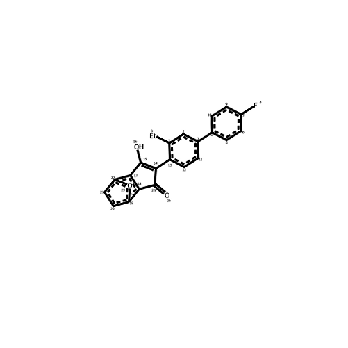 CCc1cc(-c2ccc(F)cc2)ccc1C1=C(O)c2c(c3ccc2o3)C1=O